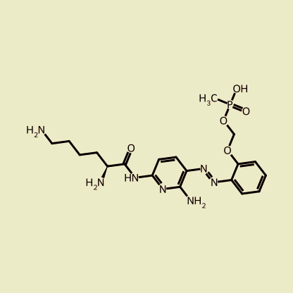 CP(=O)(O)OCOc1ccccc1/N=N/c1ccc(NC(=O)[C@@H](N)CCCCN)nc1N